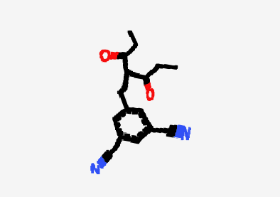 CCC(=O)C(Cc1cc(C#N)cc(C#N)c1)C(=O)CC